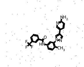 Cc1ccc(NC(=O)c2cccc(C(F)(F)F)c2)cc1-n1cc(-c2ccc(N)nc2)cn1